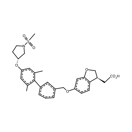 Cc1cc(O[C@@H]2CCN(S(C)(=O)=O)C2)cc(C)c1-c1cccc(COc2ccc3c(c2)OC[C@H]3CC(=O)O)c1